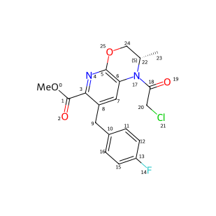 COC(=O)c1nc2c(cc1Cc1ccc(F)cc1)N(C(=O)CCl)[C@@H](C)CO2